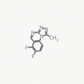 Cc1nnc2ncc3c(F)c(F)ccc3n12